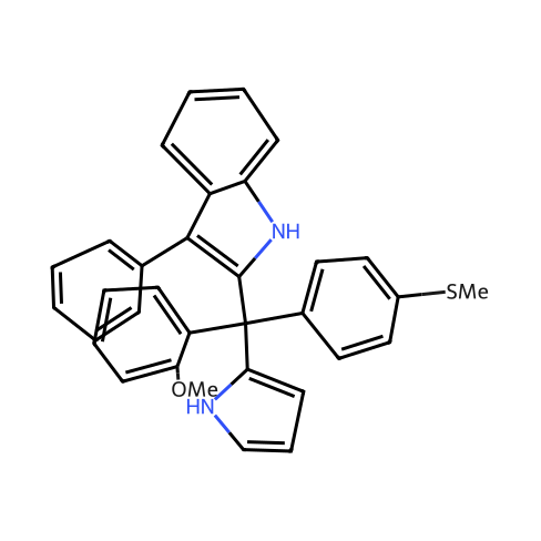 COc1ccccc1C(c1ccc(SC)cc1)(c1ccc[nH]1)c1[nH]c2ccccc2c1-c1ccccc1